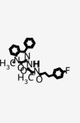 C[C@H](NC(=O)CCc1ccc(F)cc1)C(=O)N[C@H]1N=C(c2ccccc2)c2ccccc2N(C)C1=O